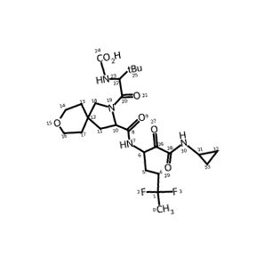 CC(F)(F)CCC(NC(=O)C1CC2(CCOCC2)CN1C(=O)C(NC(=O)O)C(C)(C)C)C(=O)C(=O)NC1CC1